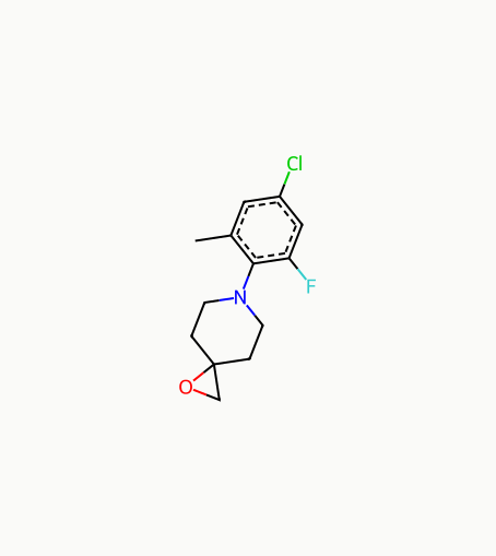 Cc1cc(Cl)cc(F)c1N1CCC2(CC1)CO2